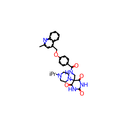 Cc1cc(COc2ccc(C(=O)NCC3(N4CCN(C(C)C)CC4)C(=O)NC(=O)NC3=O)cc2)c2ccccc2n1